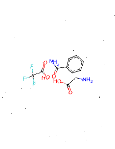 NC(=O)c1ccccc1.NCC(=O)O.O=C(O)C(F)(F)F